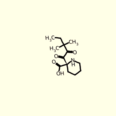 CCC(C)(C)C(=O)C(=O)[C@]1(C(=O)O)CCCCN1